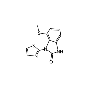 CSc1cccc2[nH]c(=O)n(-c3nccs3)c12